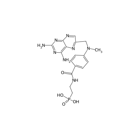 CN(Cc1cnc2nc(N)nc(N)c2n1)c1ccc(C(=O)NCCP(=O)(O)O)cc1